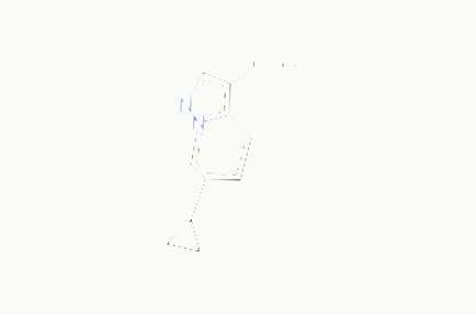 O=Cc1cnn2cc(C3CC3)ccc12